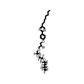 CCCCCCCCc1cnc(-c2ccc(OC[C@@H](Br)COCC(F)(F)OC(F)(F)C(F)(F)OC(F)(F)C(F)(F)C(F)(F)C(F)(F)F)cc2)nc1